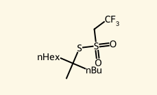 CCCCCCC(C)(CCCC)SS(=O)(=O)CC(F)(F)F